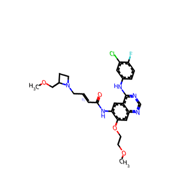 COCCOc1cc2ncnc(Nc3ccc(F)c(Cl)c3)c2cc1NC(=O)/C=C/CN1CCC1COC